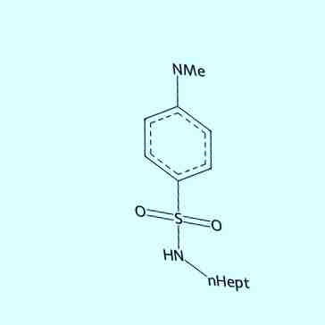 CCCCCCCNS(=O)(=O)c1ccc(NC)cc1